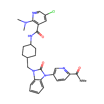 CNC(=O)c1ccc(-n2c(=O)n(CC3CCC(NC(=O)c4cc(Cl)cnc4N(C)C)CC3)c3ccccc32)cn1